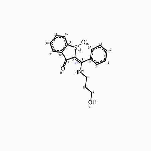 O=C1/C(=C(\NCCCO)c2ccccc2)[S+]([O-])c2ccccc21